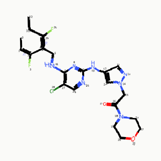 C/C=C(F)\C(CNc1nc(Nc2cnn(CC(=O)N3CCOCC3)c2)ncc1Cl)=C(\F)CC